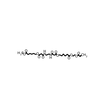 C=CC(=O)OCCOC(=O)CCCCCOC(=O)CC(=O)NCCNC(=O)CC(=O)OCCCCCC(=O)OC